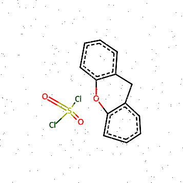 O=S(=O)(Cl)Cl.c1ccc2c(c1)Cc1ccccc1O2